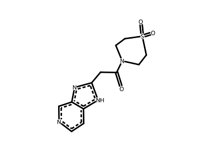 O=C(Cc1nc2cnccc2[nH]1)N1CCS(=O)(=O)CC1